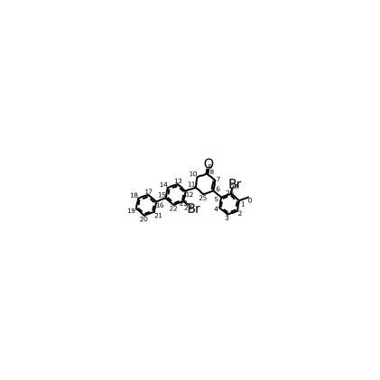 Cc1cccc(C2=CC(=O)CC(c3ccc(-c4ccccc4)cc3Br)C2)c1Br